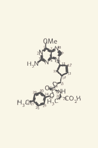 COc1nc(N)nc2c1ncn2[C@H]1C=C[C@@H](COP(=O)(N[C@@H](C)C(=O)O)Oc2ccc(C)cc2)C1